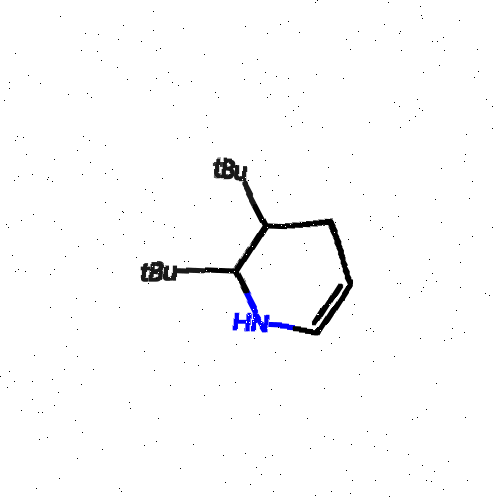 CC(C)(C)C1CC=CNC1C(C)(C)C